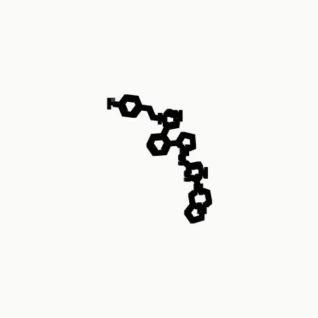 Fc1ccc(CCn2cncc2-c2ccccc2C2CCCN2Sc2cnc(N3CCN4CCCC4C3)s2)cc1